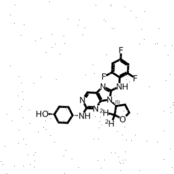 [2H]C1([2H])OCC[C@@H]1n1c(Nc2c(F)cc(F)cc2F)nc2cnc(N[C@H]3CC[C@H](O)CC3)nc21